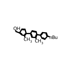 CCCCc1ccc(-c2ccc(-c3ccc(CO)cc3C)cc2C)cc1